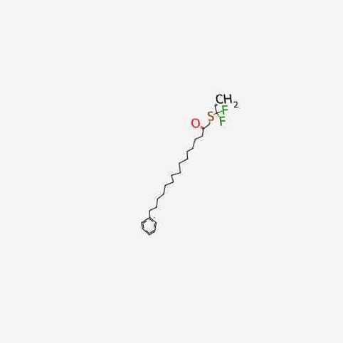 C=CC(F)(F)SCC(=O)CCCCCCCCCCCCCCc1ccccc1